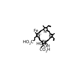 C=CC1=C(C)c2cc3[n-]c(cc4nc(cc5[n-]c(cc1n2)c(C)c5C=C)[C@](C)(O)[C@@]4(O)CCC(=O)O)c(CCC(=O)O)c3C.[Fe]